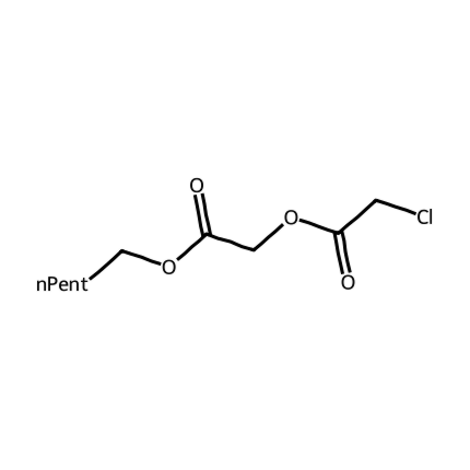 CCCCCCOC(=O)COC(=O)CCl